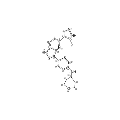 Cc1[nH]ncc1-c1cnc2[nH]cc(-c3ccc(NN4CCOCC4)nc3)c2n1